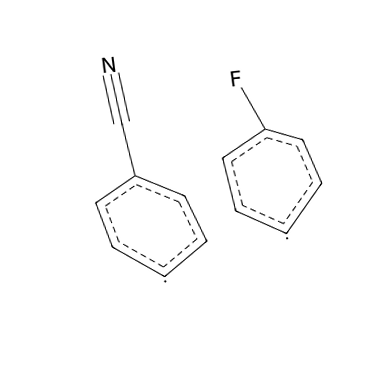 Fc1cc[c]cc1.N#Cc1cc[c]cc1